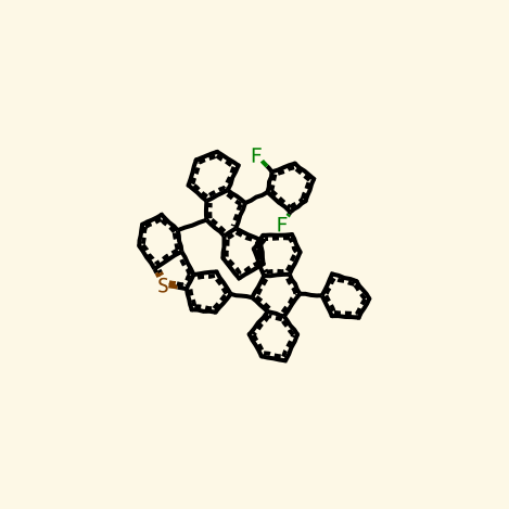 Fc1cccc(F)c1-c1c2ccccc2c(-c2cccc3sc4ccc(-c5c6ccccc6c(-c6ccccc6)c6ccccc56)cc4c23)c2ccccc12